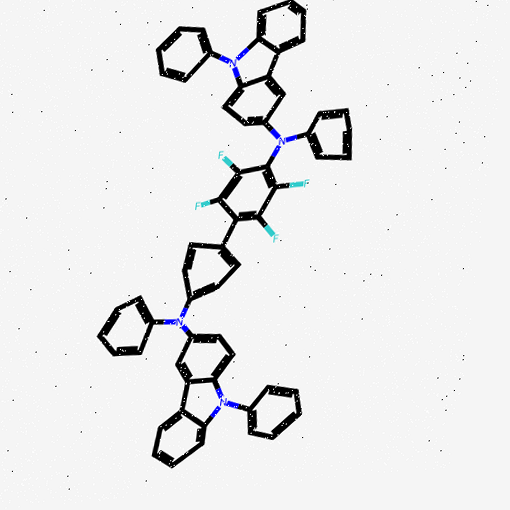 Fc1c(F)c(N(c2ccccc2)c2ccc3c(c2)c2ccccc2n3-c2ccccc2)c(F)c(F)c1-c1ccc(N(c2ccccc2)c2ccc3c(c2)c2ccccc2n3-c2ccccc2)cc1